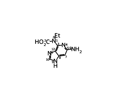 CCN(C(=O)O)c1nc(N)cc2[nH]cnc12